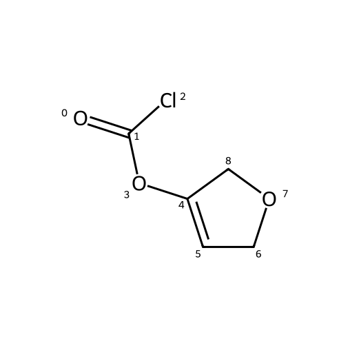 O=C(Cl)OC1=CCOC1